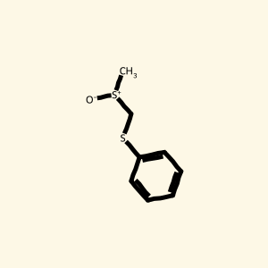 C[S+]([O-])CSc1ccccc1